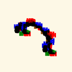 O=C(N/N=C/c1cc(Br)c(O)c(Br)c1)C(Nc1ccc2ccccc2c1)C(=O)NNC(=S)Nc1ccc(/C=C/c2ccc(NC(=S)NCCOCCNC(=S)Nc3ccc(/C=C/c4ccc(NC(=S)NNC(=O)C(Nc5ccc6ccccc6c5)C(=O)N/N=C/c5cc(Br)c(O)c(Br)c5)cc4S(=O)(=O)O)c(S(=O)(=O)O)c3)cc2S(=O)(=O)O)c(S(=O)(=O)O)c1